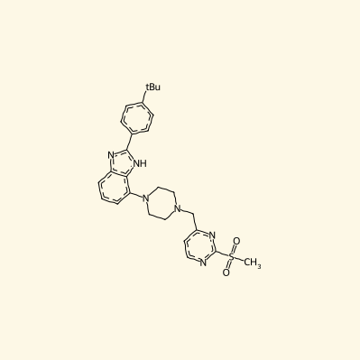 CC(C)(C)c1ccc(-c2nc3cccc(N4CCN(Cc5ccnc(S(C)(=O)=O)n5)CC4)c3[nH]2)cc1